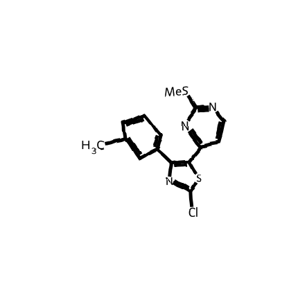 CSc1nccc(-c2sc(Cl)nc2-c2cccc(C)c2)n1